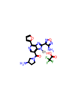 CCn1c(-c2nonc2N)nc2c(-c3ccco3)ncc(C(=O)N3CCC(N)C3)c21.O=C(O)C(F)(F)F